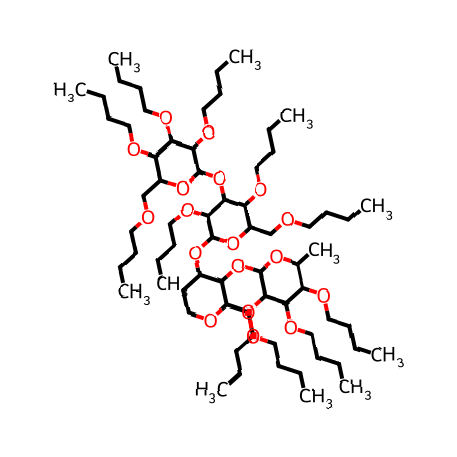 CCCCOCC1OCCC(OC2OC(COCCCC)C(OCCCC)C(OC3OC(COCCCC)C(OCCCC)C(OCCCC)C3OCCCC)C2OCCCC)C1OC1OC(C)C(OCCCC)C(OCCCC)C1OCCCC